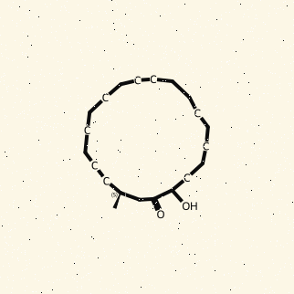 C[C@H]1CCCCCCCCCCCCCCCCC(O)C(=O)C1